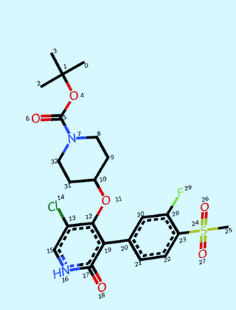 CC(C)(C)OC(=O)N1CCC(Oc2c(Cl)c[nH]c(=O)c2-c2ccc(S(C)(=O)=O)c(F)c2)CC1